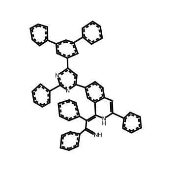 N=C(/C(=C1\NC(c2ccccc2)=Cc2ccc(-c3cc(-c4cc(-c5ccccc5)cc(-c5ccccc5)c4)nc(-c4ccccc4)n3)cc21)c1ccccc1)c1ccccc1